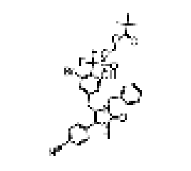 CC(C)(C)C(=O)OCOP(=O)(O)C(F)(F)c1ccc(CC2C(c3ccc(C#N)cc3)NC(=O)N2Cc2ccccc2)cc1Br